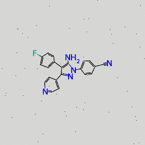 N#Cc1ccc(-n2nc(-c3ccncc3)c(-c3ccc(F)cc3)c2N)cc1